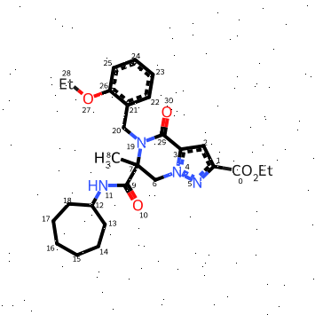 CCOC(=O)c1cc2n(n1)CC(C)(C(=O)NC1CCCCCC1)N(Cc1ccccc1OCC)C2=O